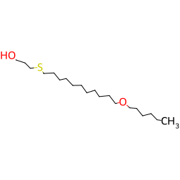 CCCCCCOCCCCCCCCCCCSCCCO